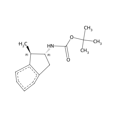 [CH2][C@@H]1c2ccccc2C[C@H]1NC(=O)OC(C)(C)C